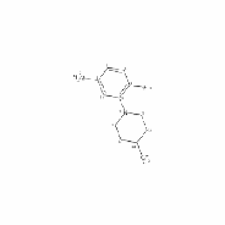 Nc1ccc(F)c(N2CCC(C(F)(F)F)CC2)c1